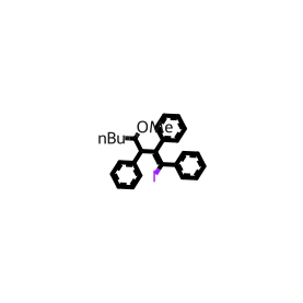 CCCCC(OC)C(C(=C(I)c1ccccc1)c1ccccc1)c1ccccc1